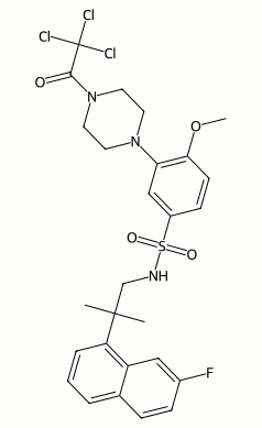 COc1ccc(S(=O)(=O)NCC(C)(C)c2cccc3ccc(F)cc23)cc1N1CCN(C(=O)C(Cl)(Cl)Cl)CC1